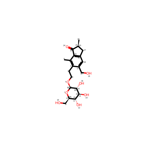 Cc1c(CCO[C@@H]2O[C@H](CO)[C@@H](O)[C@H](O)[C@H]2O)c(CO)cc2c1C(=O)[C@@H](C)C2